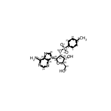 Cc1ccc(S(=O)(=O)O[C@@H]2[C@H](O)[C@@H](CO)O[C@H]2n2cnc3c(N)ncnc32)cc1